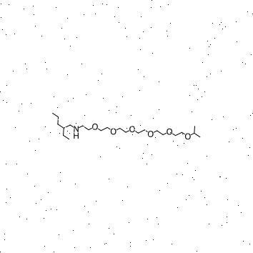 CCCC(CC)CNCCOCCOCCOCCOCCOCCOC(C)C